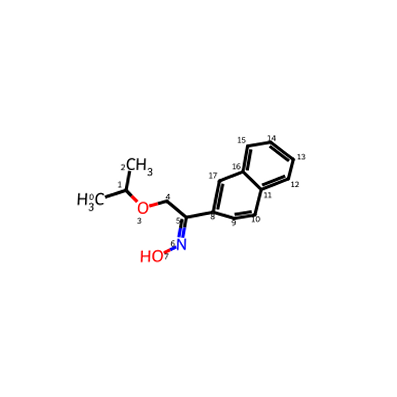 CC(C)OCC(=NO)c1ccc2ccccc2c1